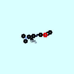 CCC1(CC)c2cc(/C=C/c3ccc(C4=CC5C(C=C4)C4c6ccccc6C5C5C=CC=CC54)cc3)ccc2-c2ccc(N(c3ccccc3)c3ccccc3)cc21